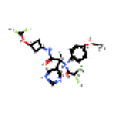 C[C@](C(=O)NC1CC(OC(F)F)C1)(c1cncnc1)N(C(=O)[C@H](F)Cl)c1ccc(OC(F)(F)F)cc1